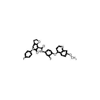 COc1ccc2c(Oc3ccc(NC(=O)c4c5c(cn(-c6ccc(F)cc6)c4=O)CCO5)cc3F)ccnc2c1